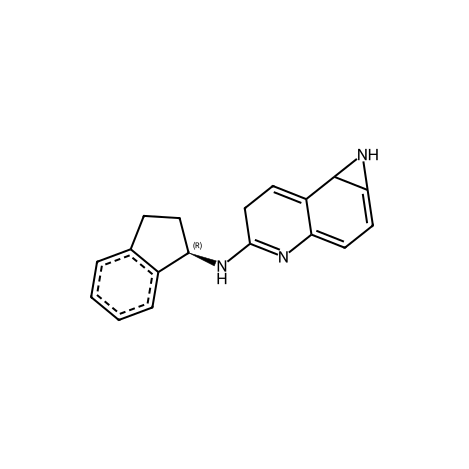 C1=C2N=C(N[C@@H]3CCc4ccccc43)CC=C2C2NC2=C1